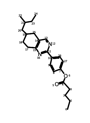 CCCCC(=O)Oc1ccc(-c2ncc3c(n2)CCC(CC(C)CC)C3)cc1